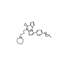 COc1ccc(-c2csc(N(CCCN3CCCCCC3)C(=O)c3cccs3)n2)cc1